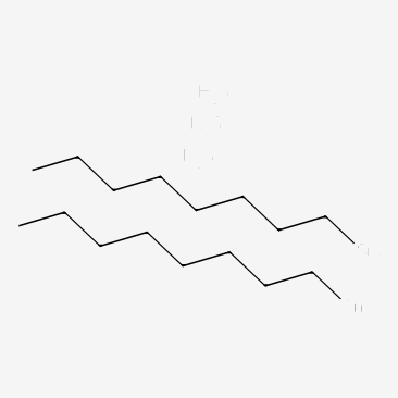 CCCCCCC[CH2][Sn].CCCCCCC[CH2][Sn].S.S.S